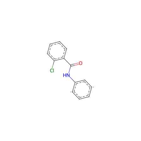 O=C(Nc1[c]cc[c]c1)c1ccccc1Cl